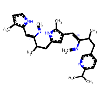 C=N/C(=C\c1cc(CC(C)/C(=C/c2[nH]ccc2C)N=C)[nH]c1C)C(C)Cc1ccc(C(C)C)nc1